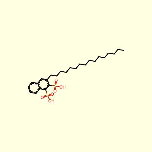 CCCCCCCCCCCCCCCCc1cc2ccccc2c(S(=O)(=O)O)c1S(=O)(=O)O